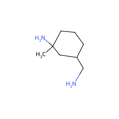 CC1(N)CCCC(CN)C1